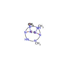 CN1CCNCCN2CCN(C)CCNCCN(CC1)CCN(C)CCN(C)CC2